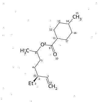 C=C[C@@H](CC)CCC(C)OC(=O)C1CCC(C)CC1